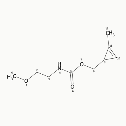 COCCNC(=O)OCC1C=C1C